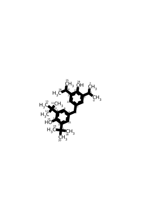 CC(C)c1cc(Cc2cc(C(C)(C)C)c(O)c(C(C)(C)C)c2)cc(C(C)C)c1O